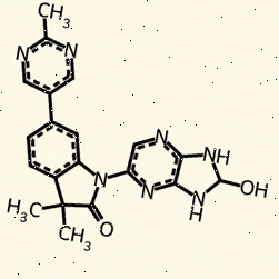 Cc1ncc(-c2ccc3c(c2)N(c2cnc4c(n2)NC(O)N4)C(=O)C3(C)C)cn1